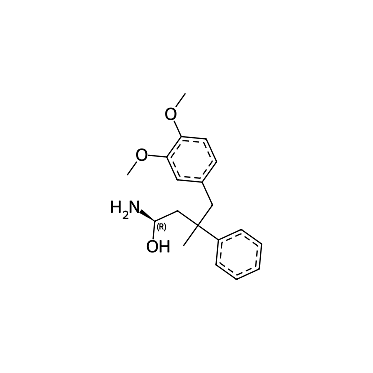 COc1ccc(CC(C)(C[C@H](N)O)c2ccccc2)cc1OC